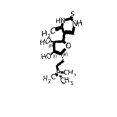 C=C1NC(=S)NC=C1C1O[C@H](CCP(=C)(C)C)[C@@H](O)[C@H]1O